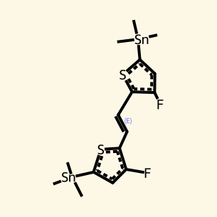 [CH3][Sn]([CH3])([CH3])[c]1cc(F)c(/C=C/c2s[c]([Sn]([CH3])([CH3])[CH3])cc2F)s1